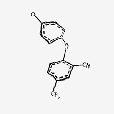 N#Cc1cc(C(F)(F)F)ccc1Oc1ccc([O])cc1